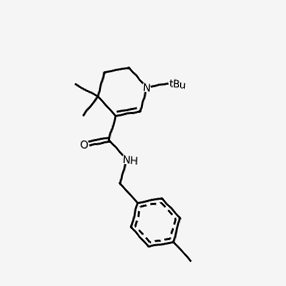 Cc1ccc(CNC(=O)C2=CN(C(C)(C)C)CCC2(C)C)cc1